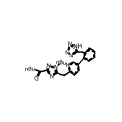 CCCCC(=O)c1nc(Cc2ccc(-c3ccccc3-c3nnn[nH]3)cn2)n(CCCC)n1